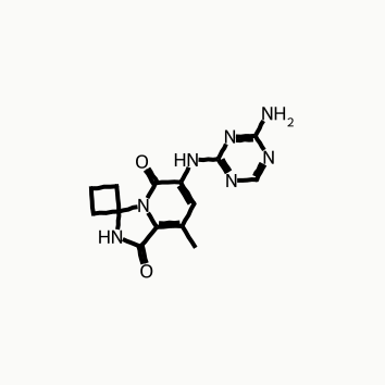 Cc1cc(Nc2ncnc(N)n2)c(=O)n2c1C(=O)NC21CCC1